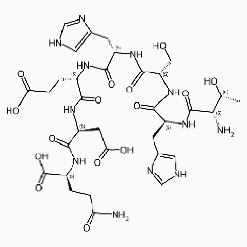 C[C@@H](O)[C@H](N)C(=O)N[C@@H](Cc1c[nH]cn1)C(=O)N[C@@H](CO)C(=O)N[C@@H](Cc1c[nH]cn1)C(=O)N[C@@H](CCC(=O)O)C(=O)N[C@@H](CC(=O)O)C(=O)N[C@@H](CCC(N)=O)C(=O)O